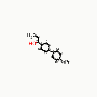 C=CC(O)c1ccc(-c2ccc(CCC)cc2)cc1